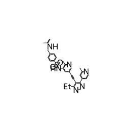 C=C(C)NCc1ccc(S(=O)(=O)Nc2cc(C#Cc3c(CC)ncnc3-c3ccnc(C)c3)cnc2C)cc1